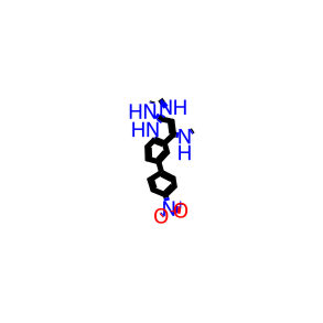 CNC1=CC(NC)(NC)Nc2ccc(-c3ccc([N+](=O)[O-])cc3)cc21